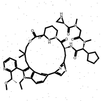 CCn1c(-c2cccnc2[C@H](C)OC)c2c3cc(ccc31)-c1csc(n1)C[C@H](NC(=O)[C@H](C1CCCC1)N(C)C(=O)CN(C)C(=O)[C@H]1CN1)C(=O)N1CCC[C@H](N1)C(=O)OCC(C)(C)C2